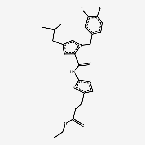 CCOC(=O)CCc1csc(NC(=O)c2cc(CC(C)C)cn2Cc2ccc(F)c(F)c2)n1